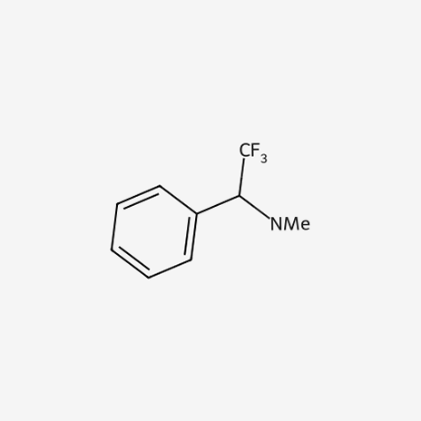 [CH2-][NH2+]C(c1ccccc1)C(F)(F)F